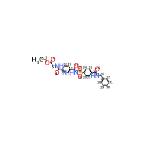 CCOC(=O)CNC(=O)c1ccc(C(=O)NS(=O)(=O)c2ccc(C(=O)NCc3ccccc3)cc2)cn1